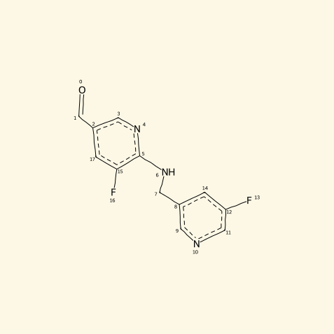 O=Cc1cnc(NCc2cncc(F)c2)c(F)c1